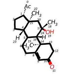 CC(=O)[C@H]1CC[C@H]2C3CCC4=CC(=O)CC[C@]4(C)[C@H]3[C@@](C)(O)C[C@]12C